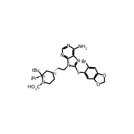 CC(C)[C@@]1(C(C)(C)C)C[C@H](CCn2c(Sc3cc4c(cc3Br)OCO4)nc3c(N)ncnc32)CCN1C(=O)O